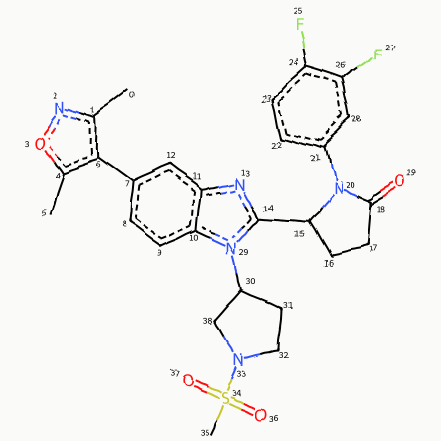 Cc1noc(C)c1-c1ccc2c(c1)nc(C1CCC(=O)N1c1ccc(F)c(F)c1)n2C1CCN(S(C)(=O)=O)C1